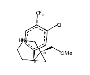 COC[C@]12CNCC[C@@]1(c1ccc(C(F)(F)F)c(Cl)c1)C2